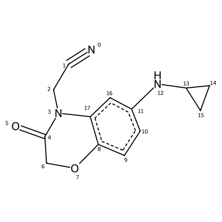 N#CCN1C(=O)COc2ccc(NC3CC3)cc21